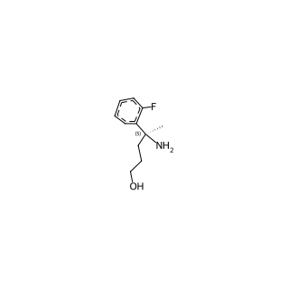 C[C@](N)(CCCO)c1ccccc1F